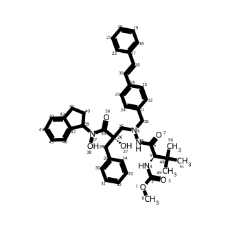 COC(=O)N[C@H](C(=O)NN(Cc1ccc(C=Cc2ccccc2)cc1)C[C@@](O)(Cc1ccccc1)C(=O)N(O)C1CCc2ccccc21)C(C)(C)C